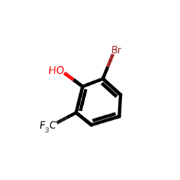 Oc1c(Br)cccc1C(F)(F)F